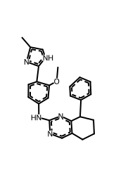 COc1cc(Nc2ncc3c(n2)C(c2ccccc2)CCC3)ccc1-c1nc(C)c[nH]1